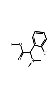 CN(C)C(C(=O)OI)c1ccccc1Cl